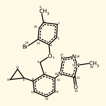 Cc1ccc(OCc2c(C3CC3)cccc2-n2nnn(C)c2=O)c(Br)c1